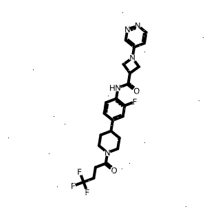 O=C(Nc1ccc(C2CCN(C(=O)CCC(F)(F)F)CC2)cc1F)C1CN(c2ccnnc2)C1